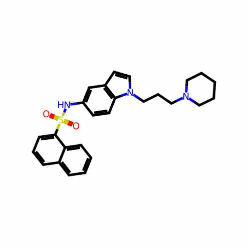 O=S(=O)(Nc1ccc2c(ccn2CCCN2CCCCC2)c1)c1cccc2ccccc12